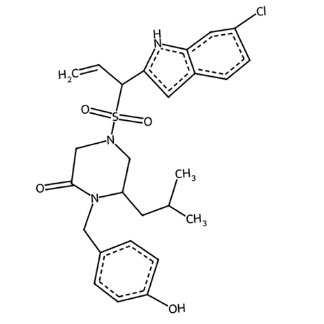 C=CC(c1cc2ccc(Cl)cc2[nH]1)S(=O)(=O)N1CC(=O)N(Cc2ccc(O)cc2)C(CC(C)C)C1